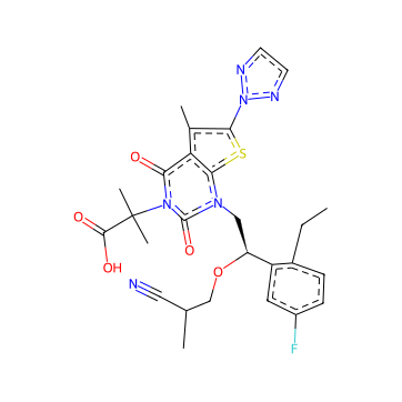 CCc1ccc(F)cc1[C@H](Cn1c(=O)n(C(C)(C)C(=O)O)c(=O)c2c(C)c(-n3nccn3)sc21)OCC(C)C#N